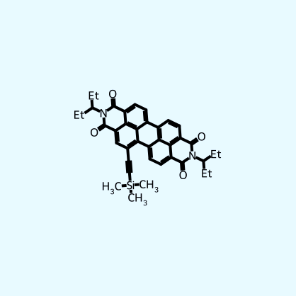 CCC(CC)N1C(=O)c2ccc3c4ccc5c6c(cc(C#C[Si](C)(C)C)c(c7ccc(c2c37)C1=O)c64)C(=O)N(C(CC)CC)C5=O